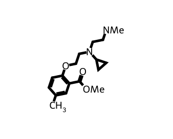 CNCCN(CCOc1ccc(C)cc1C(=O)OC)C1CC1